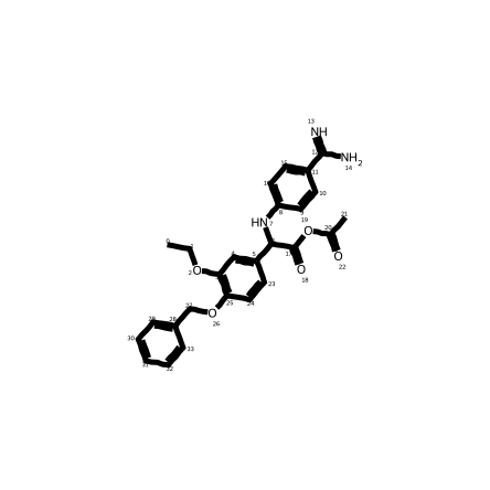 CCOc1cc(C(Nc2ccc(C(=N)N)cc2)C(=O)OC(C)=O)ccc1OCc1ccccc1